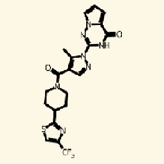 Cc1c(C(=O)N2CCC(c3nc(C(F)(F)F)cs3)CC2)cnn1-c1nn2cccc2c(=O)[nH]1